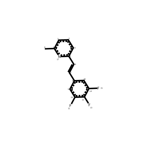 Cc1cccc(C=Cc2cc(F)c(F)c(F)c2)n1